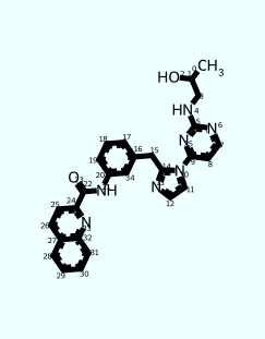 CC(O)CNc1nccc(-n2ccnc2Cc2cccc(NC(=O)c3ccc4ccccc4n3)c2)n1